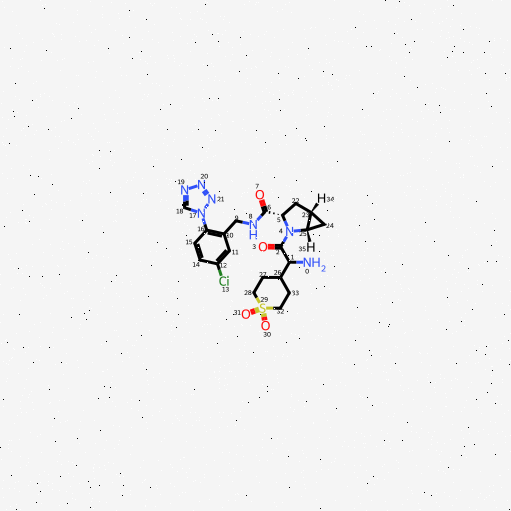 NC(C(=O)N1[C@H](C(=O)NCc2cc(Cl)ccc2-n2cnnn2)C[C@@H]2C[C@@H]21)C1CCS(=O)(=O)CC1